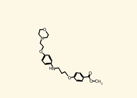 COC(=O)c1ccc(OCCCNc2ccc(OCCN3CCOCC3)cc2)cc1